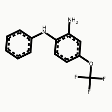 Nc1cc(OC(F)(F)F)ccc1Nc1ccccc1